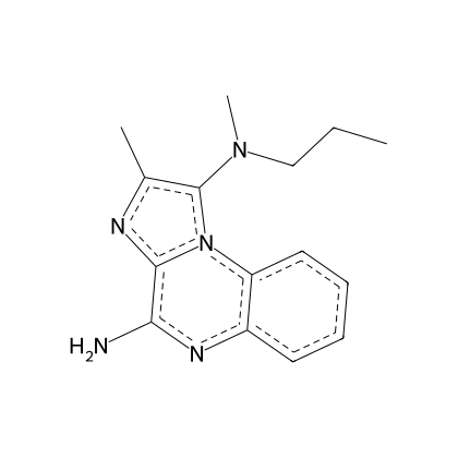 CCCN(C)c1c(C)nc2c(N)nc3ccccc3n12